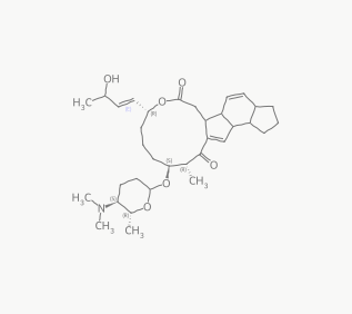 CC(O)/C=C/[C@H]1CCC[C@H](OC2CC[C@H](N(C)C)[C@@H](C)O2)[C@@H](C)C(=O)C2=CC3C(C=CC4CCCC43)C2CC(=O)O1